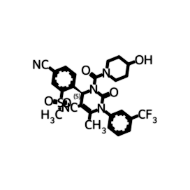 CC1=C(C#N)[C@@H](c2ccc(C#N)cc2S(C)(=O)=O)N(C(=O)N2CCC(O)CC2)C(=O)N1c1cccc(C(F)(F)F)c1